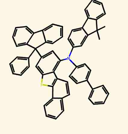 CC1(C)c2ccccc2-c2ccc(N(c3ccc(-c4ccccc4)cc3)c3cc(C4(c5ccccc5)c5ccccc5-c5ccccc54)cc4sc5c6ccccc6ccc5c34)cc21